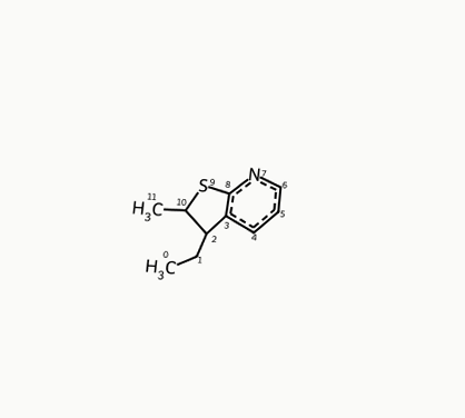 CCC1c2cccnc2SC1C